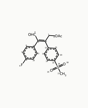 CC(=O)OC/C(=C(\C=O)c1ccc(F)cc1)c1ccc(S(C)(=O)=O)cc1